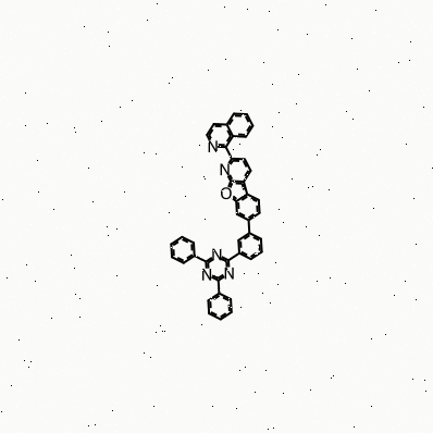 c1ccc(-c2nc(-c3ccccc3)nc(-c3cccc(-c4ccc5c(c4)oc4nc(-c6nccc7ccccc67)ccc45)c3)n2)cc1